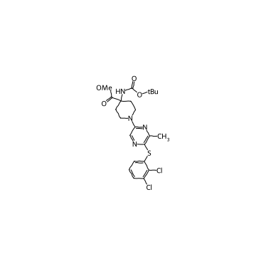 COC(=O)C1(NC(=O)OC(C)(C)C)CCN(c2cnc(Sc3cccc(Cl)c3Cl)c(C)n2)CC1